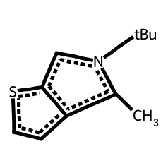 Cc1c2ccsc2cn1C(C)(C)C